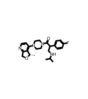 CC(C)NCC(C(=O)N1CCN(c2ccnc3c2[C@H](C)OC3)CC1)c1ccc(F)cc1